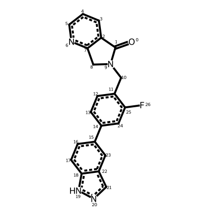 O=C1c2cccnc2CN1Cc1ccc(-c2ccc3[nH]ncc3c2)cc1F